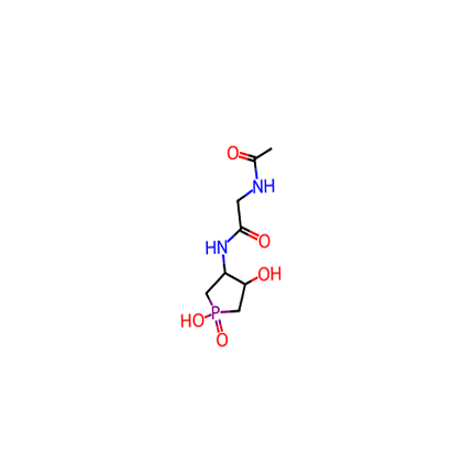 CC(=O)NCC(=O)NC1CP(=O)(O)CC1O